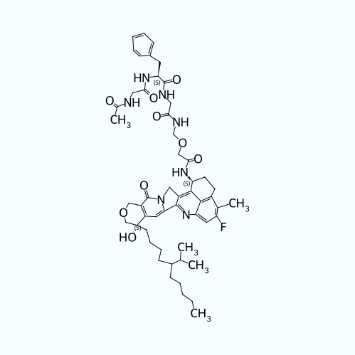 CCCCCC(CCCC[C@@]1(O)COCc2c1cc1n(c2=O)Cc2c-1nc1cc(F)c(C)c3c1c2[C@@H](NC(=O)COCNC(=O)CNC(=O)[C@H](Cc1ccccc1)NC(=O)CNC(C)=O)CC3)C(C)C